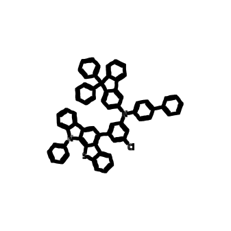 Clc1cc(-c2cc3c4ccccc4n(-c4ccccc4)c3c3sc4ccccc4c23)cc(N(c2ccc(-c3ccccc3)cc2)c2ccc3c(c2)-c2ccccc2C3(c2ccccc2)c2ccccc2)c1